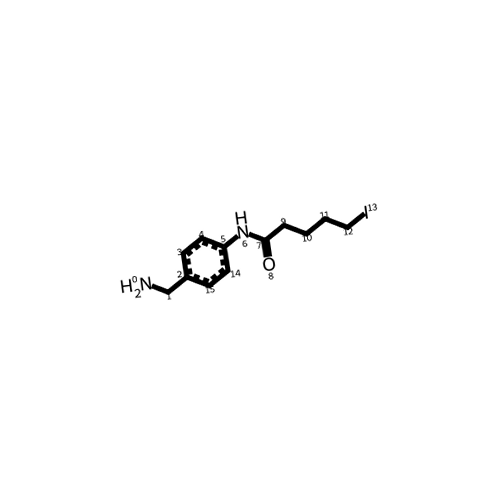 NCc1ccc(NC(=O)CCCCI)cc1